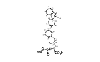 CN(C)C1(c2ccccc2)CCN(c2cccc(O[C@H]3C[C@@H](C(=O)O)N(C(=O)OC(C)(C)C)C3)c2)CC1